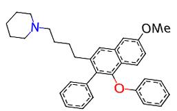 COc1ccc2c(Oc3ccccc3)c(-c3ccccc3)c(CCCCN3CCCCC3)cc2c1